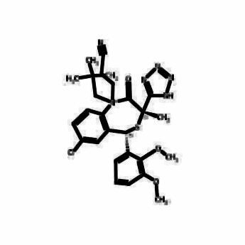 COc1cccc([C@H]2S[C@@](C)(c3nnn[nH]3)C(=O)[N+](CCC#N)(CC(C)(C)C)c3ccc(Cl)cc32)c1OC